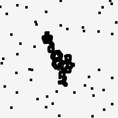 COC(=O)C1c2ccc(OCc3ccsc3)cc2CCN1C(=O)OCC(C)C